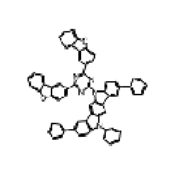 c1ccc(-c2ccc3c(c2)c2cc4c(cc2n3-c2ccccc2)c2cc(-c3ccccc3)ccc2n4-c2nc(-c3ccc4oc5ccccc5c4c3)nc(-c3ccc4oc5ccccc5c4c3)n2)cc1